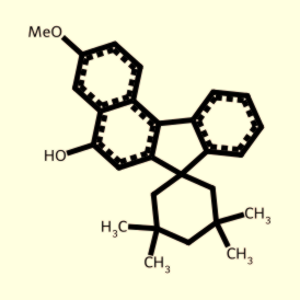 COc1ccc2c3c(cc(O)c2c1)C1(CC(C)(C)CC(C)(C)C1)c1ccccc1-3